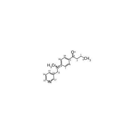 CCCC(=O)c1ccc(N(C)Cc2cccnc2)cc1